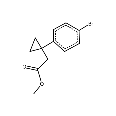 COC(=O)CC1(c2ccc(Br)cc2)CC1